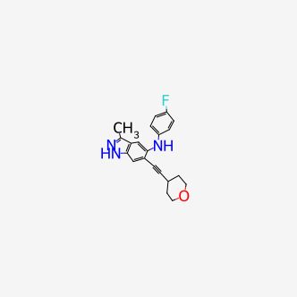 Cc1n[nH]c2cc(C#CC3CCOCC3)c(Nc3ccc(F)cc3)cc12